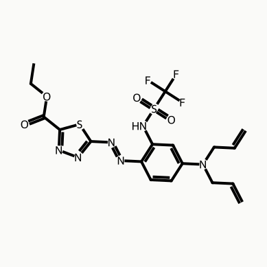 C=CCN(CC=C)c1ccc(N=Nc2nnc(C(=O)OCC)s2)c(NS(=O)(=O)C(F)(F)F)c1